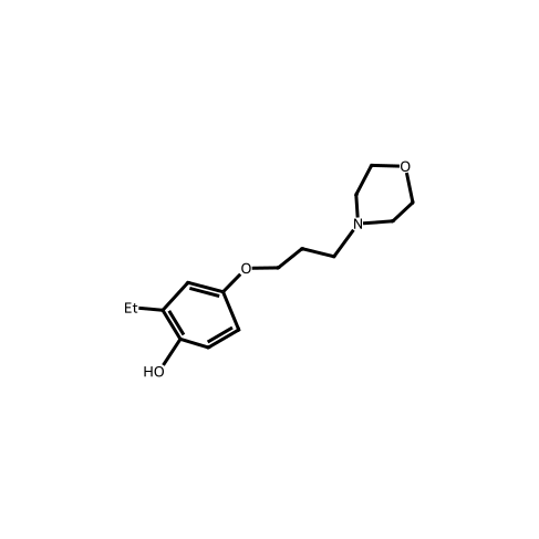 CCc1cc(OCCCN2CCOCC2)ccc1O